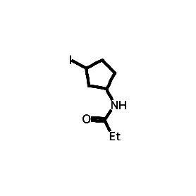 CCC(=O)NC1CCC(I)C1